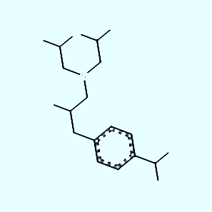 CC(Cc1ccc(C(C)C(C)C)cc1)CN1CC(C)OC(C)C1